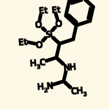 CCO[Si](OCC)(OCC)C(Cc1ccccc1)C(C)NC(C)N